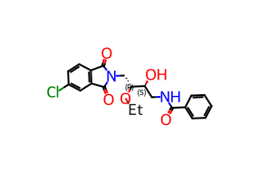 CCO[C@H](CN1C(=O)c2ccc(Cl)cc2C1=O)[C@@H](O)CNC(=O)c1ccccc1